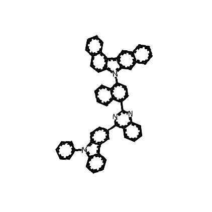 c1ccc(-n2c3ccccc3c3cc(-c4nc(-c5ccc(-n6c7cc8ccccc8cc7c7c8ccccc8ccc76)c6ccccc56)nc5ccccc45)ccc32)cc1